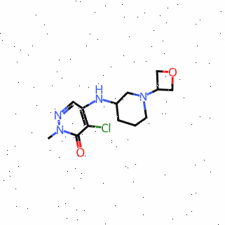 Cn1ncc(NC2CCCN(C3COC3)C2)c(Cl)c1=O